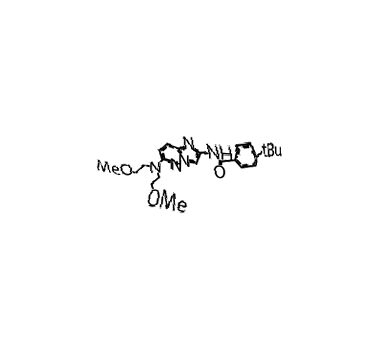 COCCN(CCOC)c1ccc2nc(NC(=O)c3ccc(C(C)(C)C)cc3)cn2n1